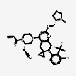 C=CC(=O)N1CCN(c2nc(OC[C@@H]3CCCN3C)nc3c2CC2(CC2)N(c2cccc(Cl)c2C(F)(F)F)C3)C[C@@H]1CC#N